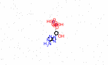 Nc1ncnc2c1ncn2[C@@H]1C[C@H](COP(=O)(O)OP(=O)(O)O)C[C@H]1O